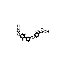 Cc1cc(OC2CNC2)cc(C)c1-c1cccc(COc2ccc3c(c2)OC[C@H]3CC(=O)O)c1